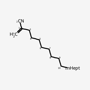 C=C(C#N)CCCCCCCCCCCCCCC